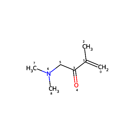 C=C(C)C(=O)CN(C)C